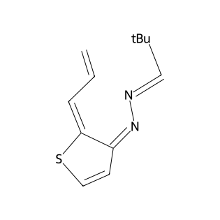 C=C/C=C1/SC=C/C1=N/N=C/C(C)(C)C